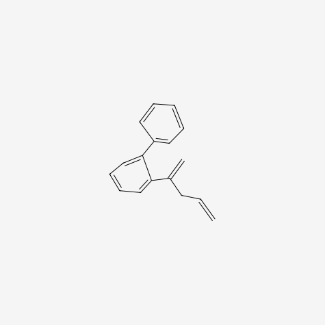 C=CCC(=C)c1ccccc1-c1ccccc1